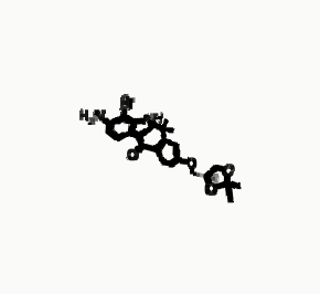 CC1(C)OC[C@@H](COC2=CC3=C(CC2)C(=O)c2c([nH]c4c(Br)c(N)ccc24)C3(C)C)O1